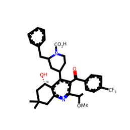 COC(C)c1nc2c(c(C3CCN(C(=O)O)C(Cc4ccccc4)C3)c1C(=O)c1ccc(C(F)(F)F)cc1)[C@@H](O)CC(C)(C)C2